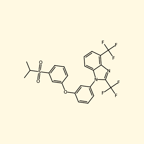 CC(C)S(=O)(=O)c1cccc(Oc2cccc(-n3c(C(F)(F)F)nc4c(C(F)(F)F)cccc43)c2)c1